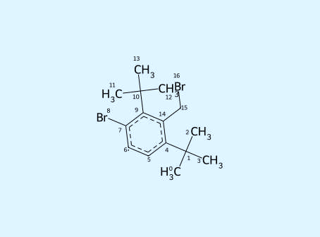 CC(C)(C)c1c[c]c(Br)c(C(C)(C)C)c1CBr